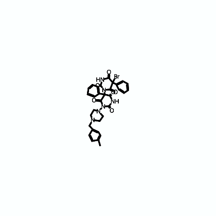 Cc1ccc(CN2CCN(N3C(=O)NC(=O)C(c4ccccc4)(N4C(=O)NC(=O)C(Br)(c5ccccc5)C4=O)C3=O)CC2)cc1